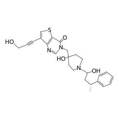 C[C@H](CC(O)N1CCC(O)(Cn2cnc3c(C#CCO)csc3c2=O)CC1)c1ccccc1